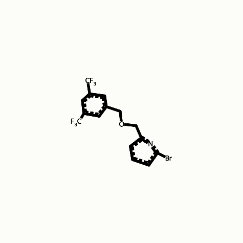 FC(F)(F)c1cc(COCc2cccc(Br)n2)cc(C(F)(F)F)c1